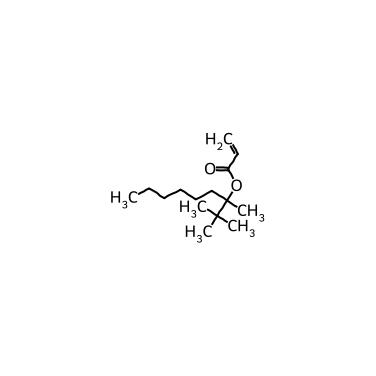 C=CC(=O)OC(C)(CCCCCC)C(C)(C)C